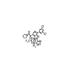 CC[N+]1(OC(=O)C(F)(F)F)C(c2nonc2N)=Nc2c(-c3cc(Cl)cc(Cl)c3)ncc(C(=O)NN3CCCC3)c21